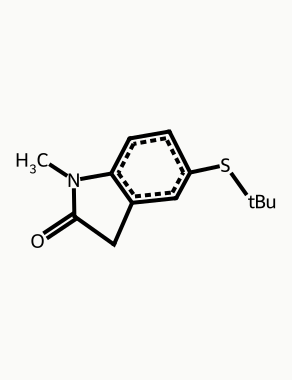 CN1C(=O)Cc2cc(SC(C)(C)C)ccc21